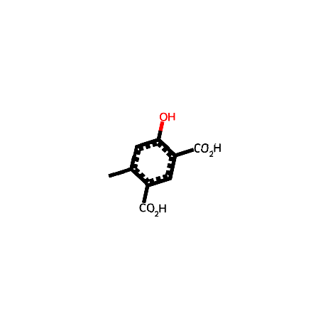 Cc1cc(O)c(C(=O)O)cc1C(=O)O